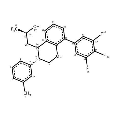 Cc1cccc([C@H]2COc3c(-c4cc(F)c(F)c(F)c4)cccc3N2C[C@H](O)C(F)(F)F)c1